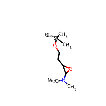 CON(C)C1OC1CCO[Si](C)(C)C(C)(C)C